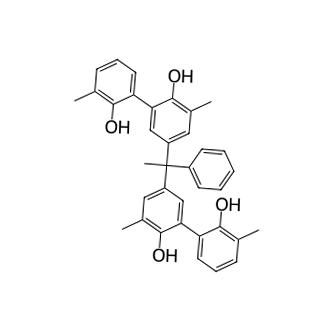 Cc1cccc(-c2cc(C(C)(c3ccccc3)c3cc(C)c(O)c(-c4cccc(C)c4O)c3)cc(C)c2O)c1O